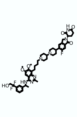 COc1cc2c(NC(C)c3cccc(C(F)(F)CO)c3)nc(C)nc2c(CCCCN2CCC(N3CCC(c4cc5c(cc4F)C(=O)N(C4CCC(=O)NC4=O)C5)CC3)CC2)c1OC